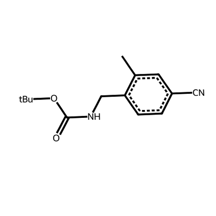 Cc1cc(C#N)ccc1CNC(=O)OC(C)(C)C